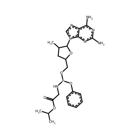 CC(C)OC(=O)CNP(OCC1CC(C)C(n2cnc3c(N)nc(N)nc32)O1)Oc1ccccc1